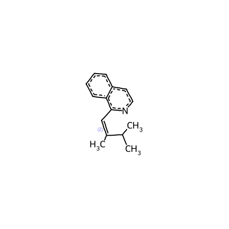 C/C(=C/c1nccc2ccccc12)C(C)C